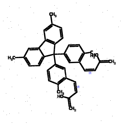 C=C(O)/C=C\c1cc(C2(c3ccc(C)c(/C=C\C(=C)O)c3)c3ccc(C)cc3-c3cc(C)ccc32)ccc1C